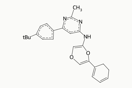 Cc1nc(NC2=COC=C(C3=CC=CCC3)O2)cc(-c2ccc(C(C)(C)C)cc2)n1